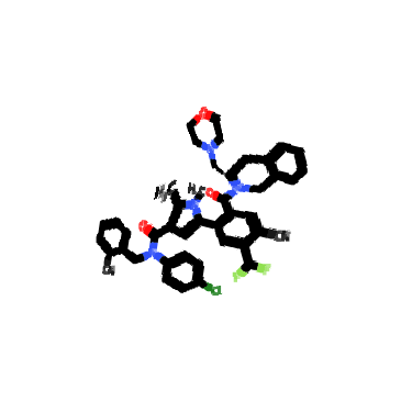 Cc1c(C(=O)N(Cc2ccccc2C#N)c2ccc(Cl)cc2)cc(-c2cc(C(F)F)c(C#N)cc2C(=O)N2Cc3ccccc3C[C@H]2CN2CCOCC2)n1C